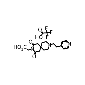 O=C(O)C(F)(F)F.O=C(O)CN1C(=O)CC2(CCN(CCc3ccncc3)CC2)CC1=O